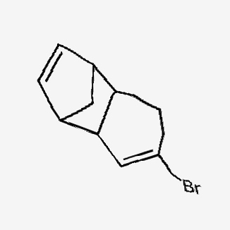 BrC1=CC2C3C=CC(C3)C2C1